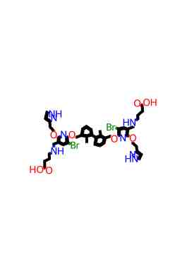 Cc1c(COc2nc(OCCc3cc[nH]n3)c(CNCCCC(=O)O)cc2Br)cccc1-c1cccc(COc2nc(OCCc3cc[nH]n3)c(CNCCCC(=O)O)cc2Br)c1C